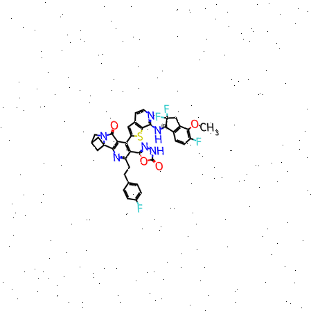 COc1c(F)ccc2c1CC(F)(F)[C@@H]2Nc1nccc2cc(-c3c4c(nc(CCc5ccc(F)cc5)c3-c3n[nH]c(=O)o3)C35CC(CN3C4=O)C5)sc12